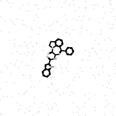 O=C(NC1N=C(c2ccccc2)c2cccc3c2N(CC3)C1=O)c1cc2ccccc2[nH]1